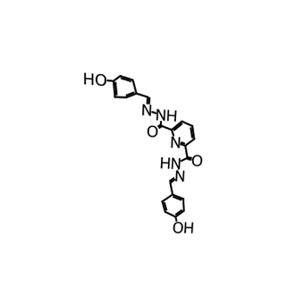 O=C(N/N=C/c1ccc(O)cc1)c1cccc(C(=O)N/N=C/c2ccc(O)cc2)n1